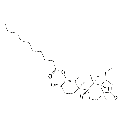 CCCCCCCCCC(=O)OC1=C2CC[C@H]3[C@@H]4[C@@H](CC)CC(=O)[C@@]4(C)CC[C@@H]3[C@@]2(C)CCC1=O